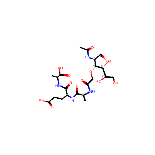 CC(=O)N[C@@H](C=O)[C@@H](OCC(=O)NC(C)C(=O)NC(CCC(=O)O)C(=O)NC(C)C(=O)O)[C@H](O)[C@H](O)CO